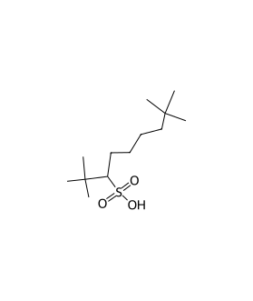 CC(C)(C)CCCCC(C(C)(C)C)S(=O)(=O)O